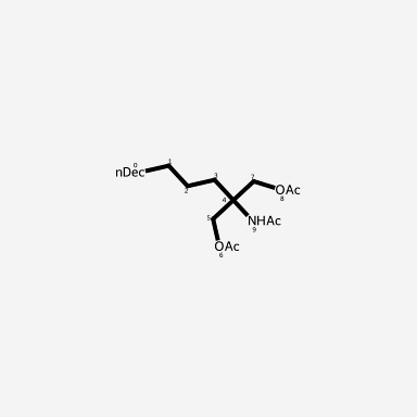 CCCCCCCCCCCCCC(COC(C)=O)(COC(C)=O)NC(C)=O